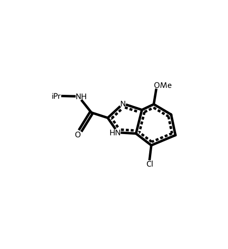 COc1ccc(Cl)c2[nH]c(C(=O)NC(C)C)nc12